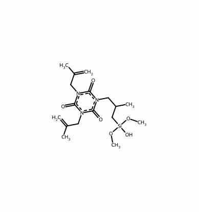 C=C(C)Cn1c(=O)n(CC(=C)C)c(=O)n(CC(C)C[Si](O)(OC)OC)c1=O